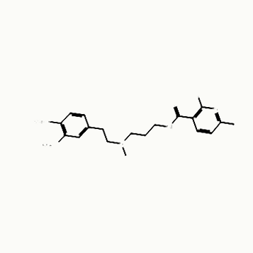 COc1ccc(CCN(C)CCCNC(=O)c2ccc(C)nc2O)cc1OC